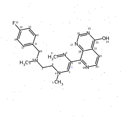 C=N/C(=C\N(C)CCN(C)Cc1ccc(F)cc1)c1nccc2c(O)ncnc12